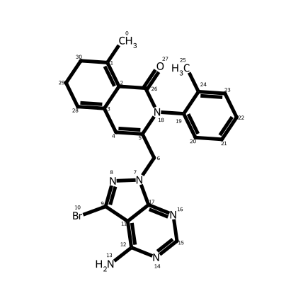 CC1=c2c(cc(Cn3nc(Br)c4c(N)ncnc43)n(-c3ccccc3C)c2=O)=CCC1